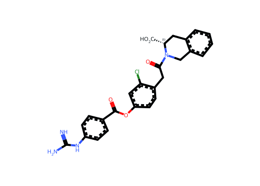 N=C(N)Nc1ccc(C(=O)Oc2ccc(CC(=O)N3Cc4ccccc4C[C@H]3C(=O)O)c(Cl)c2)cc1